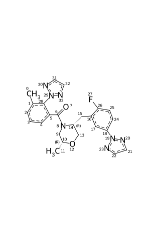 Cc1cccc(C(=O)N2C[C@@H](C)OC[C@H]2Cc2cc(-n3nccn3)ccc2F)c1-n1nccn1